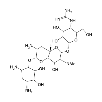 CNC1C(O[C@H]2OC(CO)[C@@H](NC(=N)N)C(O)C2O)O[C@H]2CC(N)[C@@H](O[C@H]3C(N)C[C@@H](N)C(O)C3O)OC2C1O